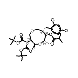 CC(C)C(=O)O[C@@H]1[C@@H](Cc2ccc(Cl)cc2Cl)COC[C@H](N(C(=O)OC(C)(C)C)C(=O)OC(C)(C)C)C(=O)O[C@H]1C